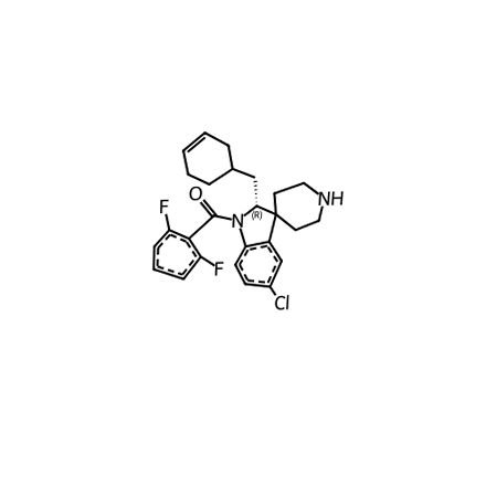 O=C(c1c(F)cccc1F)N1c2ccc(Cl)cc2C2(CCNCC2)[C@H]1CC1CC=CCC1